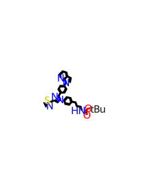 CC(C)(C)OC(=O)NCCCc1ccc(-n2cc(-c3nccs3)nc2-c2ccc(-n3ccc4cccnc43)cc2)cc1